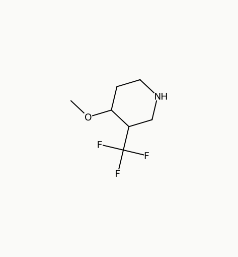 COC1CCNCC1C(F)(F)F